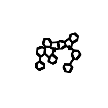 c1ccc(-c2cccc(-n3c4ccccc4c4cc5c6ccccc6n(-c6ccccc6-c6ccccc6-c6ccccc6)c5cc43)c2)cc1